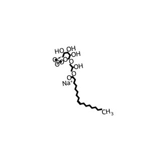 CCCCCCCC/C=C\CCCCCCCC(=O)OCC(O)CO[C@H]1O[C@H](CS(=O)(=O)[O-])[C@@H](O)[C@H](O)[C@H]1O.[Na+]